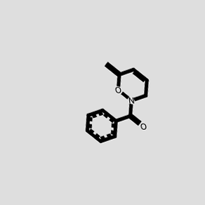 C=C1C=CCN(C(=O)c2ccccc2)O1